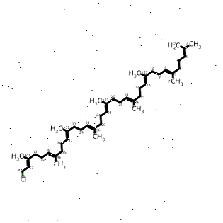 CC(C)=CCCC(C)=CCCC(C)=CCCC(C)=CCCC(C)=CCCC(C)=CCCC(C)=CCCC(C)=CCCC(C)=CCCl